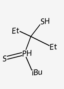 CCC(C)[PH](=S)C(S)(CC)CC